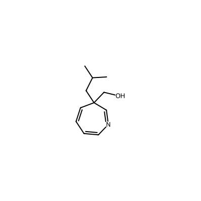 CC(C)CC1(CO)C=CC=CN=C1